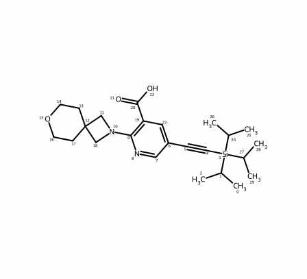 CC(C)[Si](C#Cc1cnc(N2CC3(CCOCC3)C2)c(C(=O)O)c1)(C(C)C)C(C)C